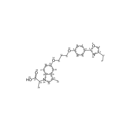 CCc1coc(-c2ccc(OCCCOc3ccc4c(c3)c(C)cn4C(C)C(=O)O)cc2)n1